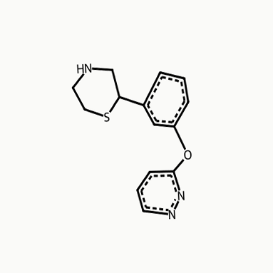 c1cc(Oc2cccnn2)cc(C2CNCCS2)c1